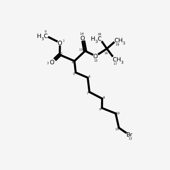 COC(=O)C(CCCCCCCBr)C(=O)OC(C)(C)C